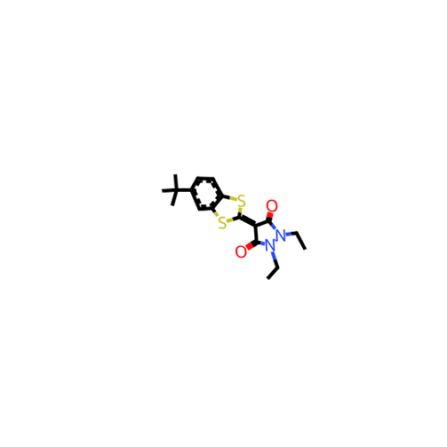 CCN1C(=O)C(=C2Sc3ccc(C(C)(C)C)cc3S2)C(=O)N1CC